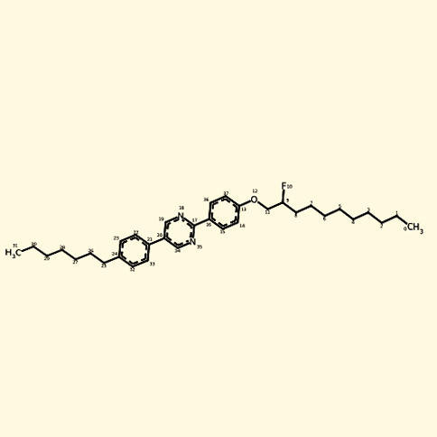 CCCCCCCCCC(F)COc1ccc(-c2ncc(-c3ccc(CCCCCCC)cc3)cn2)cc1